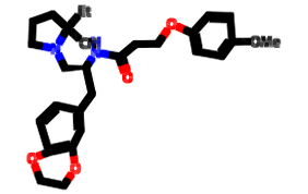 CCC1(C#N)CCCN1C[C@H](Cc1ccc2c(c1)OCCO2)NC(=O)CCOc1ccc(OC)cc1